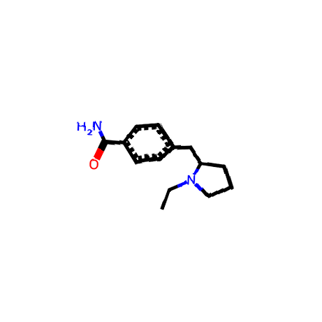 CCN1CCCC1Cc1ccc(C(N)=O)cc1